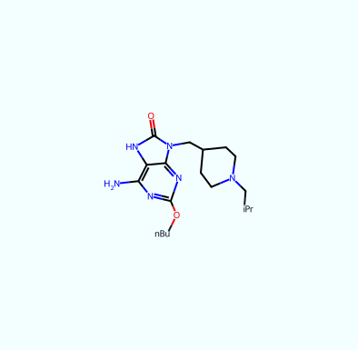 CCCCOc1nc(N)c2[nH]c(=O)n(CC3CCN(CC(C)C)CC3)c2n1